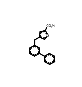 O=C(O)c1cc(Cc2cccc(-c3ccccc3)c2)cs1